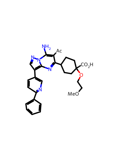 COCCOC1(C(=O)O)CCC(c2nc3c(-c4ccc(-c5ccccc5)nc4)cnn3c(N)c2C(C)=O)CC1